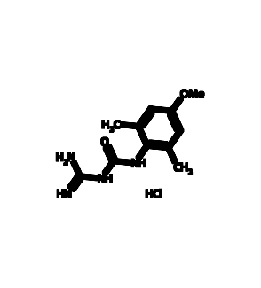 COc1cc(C)c(NC(=O)NC(=N)N)c(C)c1.Cl